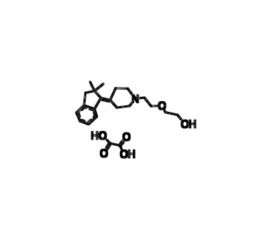 CC1(C)Cc2ccccc2C1=C1CCN(CCOCCO)CC1.O=C(O)C(=O)O